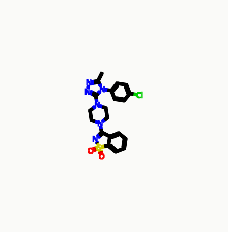 Cc1nnc(N2CCN(C3=NS(=O)(=O)c4ccccc43)CC2)n1-c1ccc(Cl)cc1